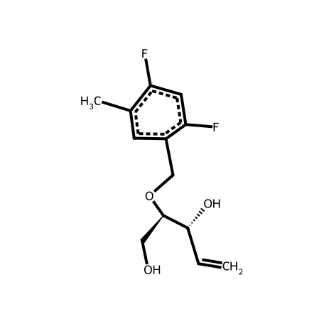 C=C[C@@H](O)[C@@H](CO)OCc1cc(C)c(F)cc1F